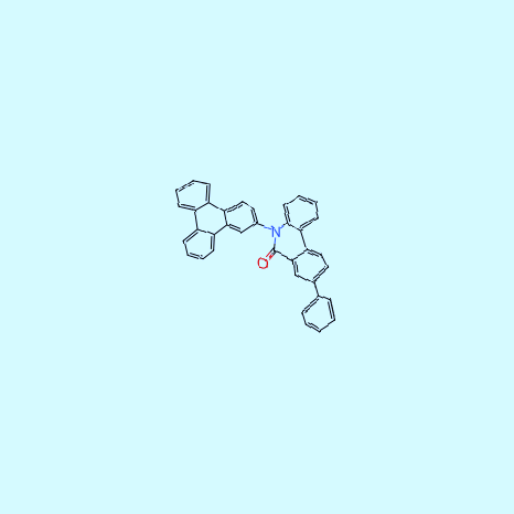 O=c1c2cc(-c3ccccc3)ccc2c2ccccc2n1-c1ccc2c3ccccc3c3ccccc3c2c1